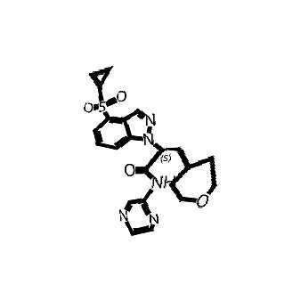 O=C(Nc1cnccn1)[C@H](CC1CCOCC1)n1ncc2c(S(=O)(=O)C3CC3)cccc21